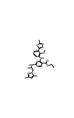 CCOC(=O)c1cnc(NC(C)Cn2nc(C)cc2C)nc1Nc1cccc(-c2nnc(C)o2)c1OC